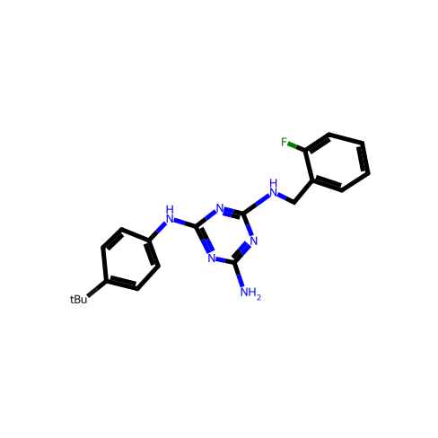 CC(C)(C)c1ccc(Nc2nc(N)nc(NCc3ccccc3F)n2)cc1